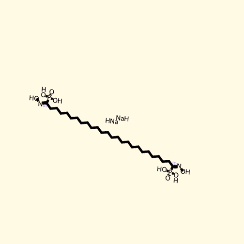 O=P(O)(O)/C(CCCCCCCCCCCCCCCCCCCCCCCC/C(=N/O)P(=O)(O)O)=N\O.[NaH].[NaH]